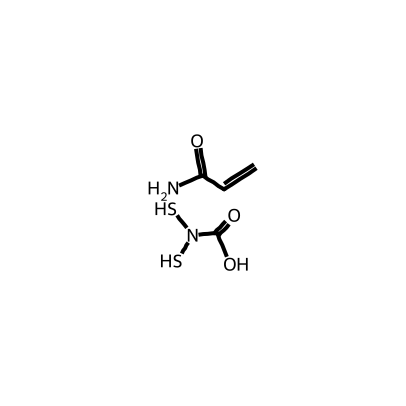 C=CC(N)=O.O=C(O)N(S)S